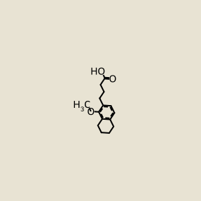 COc1c(CCCC(=O)O)ccc2c1CCCC2